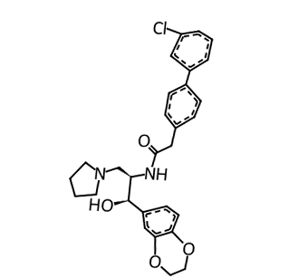 O=C(Cc1ccc(-c2cccc(Cl)c2)cc1)N[C@H](CN1CCCC1)[C@H](O)c1ccc2c(c1)OCCO2